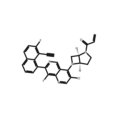 C#Cc1c(F)ccc2cccc(-c3ncc4c(N5C[C@@H]6[C@H]5CCN6C(=O)C=C)c(Cl)cnc4c3F)c12